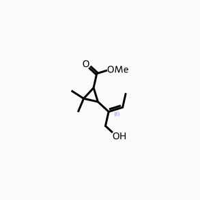 C/C=C(/CO)C1C(C(=O)OC)C1(C)C